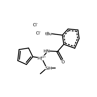 C[SiH](C)[Hf+2]([NH]C(=O)c1ccccc1C(C)(C)C)[C]1=CC=CC1.[Cl-].[Cl-]